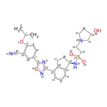 CC(C)Oc1ccc(-c2nc(-c3cccc4c3CC[C@H]4NS(=O)(=O)CCN3CC[C@H](O)C3)no2)cc1C#N